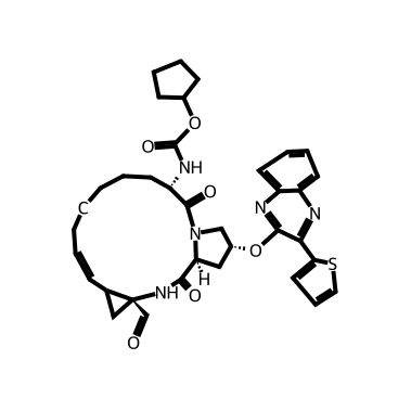 O=C[C@@]12CC1/C=C\CCCCC[C@H](NC(=O)OC1CCCC1)C(=O)N1C[C@H](Oc3nc4ccccc4nc3-c3cccs3)C[C@H]1C(=O)N2